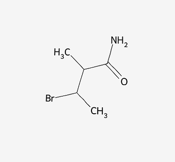 CC(Br)C(C)C(N)=O